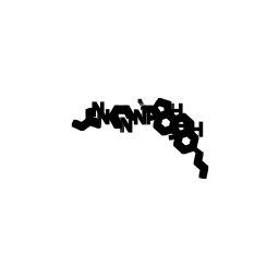 CCCC[C@H]1CC[C@@]2(C)[C@H](CC[C@H]3C4CC[C@H]([C@@H](C)Nc5ccc(-n6cc(CC)cn6)cn5)[C@@]4(C)CC[C@@H]32)C1